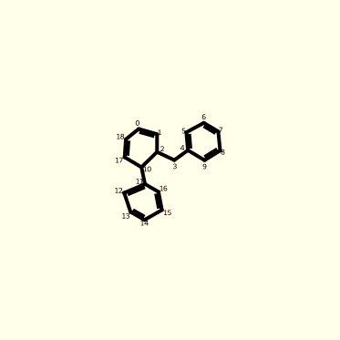 C1=CC(Cc2ccccc2)C(c2ccccc2)C=C1